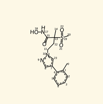 Cc1ccccc1-c1cnn(CCC(C)(C(=O)NO)S(C)(=O)=O)c1